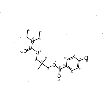 CCN(CC)C(=O)OCC(C)(C)COC(=O)c1ccc(Cl)cc1